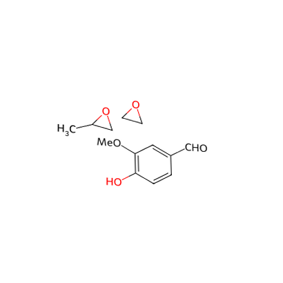 C1CO1.CC1CO1.COc1cc(C=O)ccc1O